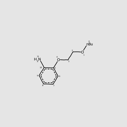 CCCCOCCOc1ccccc1N